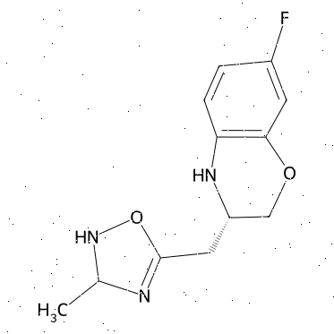 CC1N=C(C[C@H]2COc3cc(F)ccc3N2)ON1